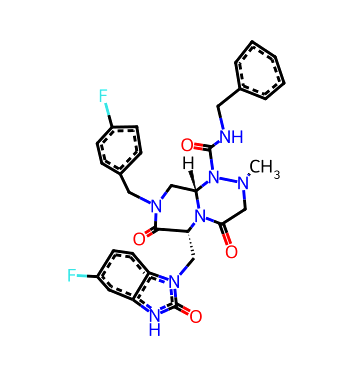 CN1CC(=O)N2[C@H](Cn3c(=O)[nH]c4cc(F)ccc43)C(=O)N(Cc3ccc(F)cc3)C[C@@H]2N1C(=O)NCc1ccccc1